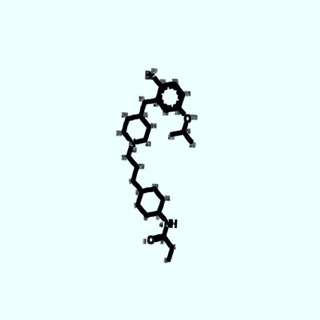 CCC(=O)NC1CCC(CCCN2CCC(Cc3cc(OC(C)C)ccc3Br)CC2)CC1